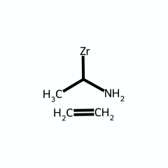 C=C.C[CH](N)[Zr]